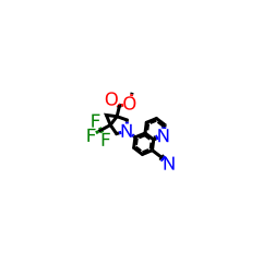 COC(=O)C12CN(c3ccc(C#N)c4ncccc34)CC1(C(F)(F)F)C2